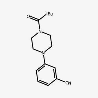 CC(C)(C)C(=O)N1CCN(c2cccc(C#N)c2)CC1